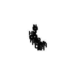 CNC(=O)c1[nH]c(C(C)(C)C)cc1NC(=O)Nc1ccc(NCc2ccncc2)c2ccccc12